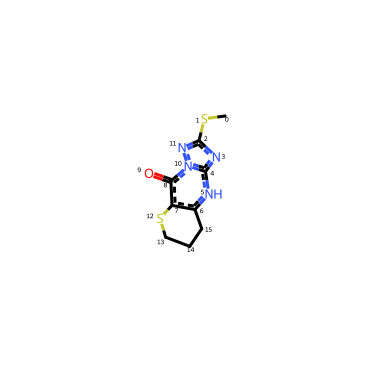 CSc1nc2[nH]c3c(c(=O)n2n1)SCCC3